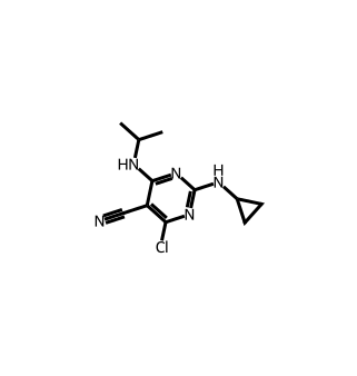 CC(C)Nc1nc(NC2CC2)nc(Cl)c1C#N